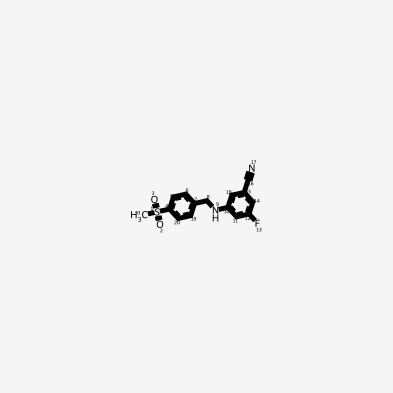 CS(=O)(=O)c1ccc(CNc2cc(F)cc(C#N)c2)cc1